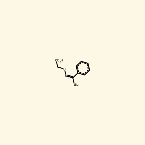 CC(C)(C)/C(=N/OCC(=O)O)c1ccccc1